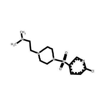 CN(C)CCN1CCN(S(=O)(=O)c2ccc(Cl)nc2)CC1